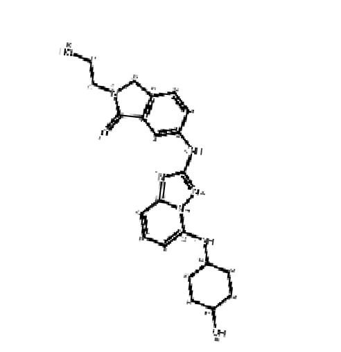 O=C1c2cc(Nc3nc4cccc(NC5CCC(O)CC5)n4n3)ccc2CN1CCO